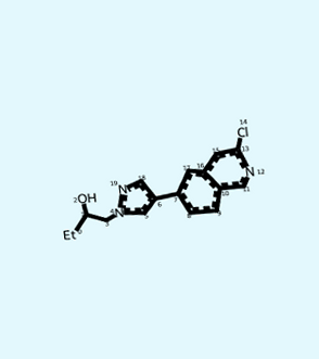 CCC(O)Cn1cc(-c2ccc3cnc(Cl)cc3c2)cn1